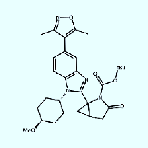 CO[C@H]1CC[C@H](n2c(C34CC3CC(=O)N4C(=O)OC(C)(C)C)nc3cc(-c4c(C)noc4C)ccc32)CC1